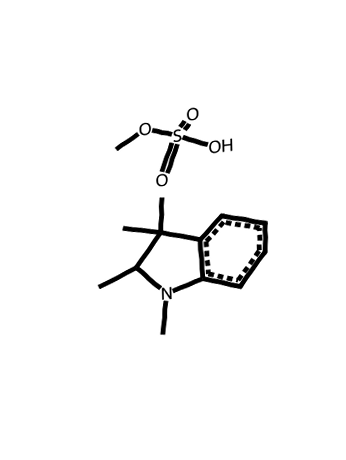 CC1N(C)c2ccccc2C1(C)C.COS(=O)(=O)O